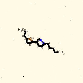 CCCCCc1ccc(-c2ccc(CCC)s2)cn1